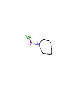 Br[P]N1CCCC1